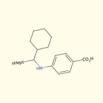 CCCCCCCC(Nc1ccc(C(=O)O)cc1)C1CCCCC1